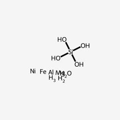 O.O[Si](O)(O)O.[AlH3].[Fe].[MgH2].[Ni]